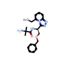 CC(=O)OCc1cccc2nnc([C@@H](COCc3ccccc3)NC(=O)C(C)(C)N)n12